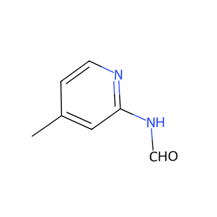 Cc1ccnc(NC=O)c1